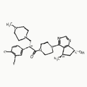 C[C@@H]1C[C@@H](O)c2ncnc(N3CCN(C(=O)[C@@H](CN4CCN(C)CC4)c4ccc(Cl)c(F)c4)CC3)c21